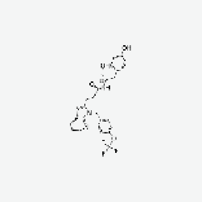 O=C(CCc1nc2cccnc2n1Cc1ccc(OC(F)(F)F)cc1)N[C@H](CO)Cc1ccc(O)cc1